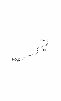 CCCCC/C=C\CC(O)/C=C\C=C/C/C=C/CCCC(=O)O